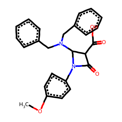 COc1ccc(N2C(=O)C(C(=O)O)C2N(Cc2ccccc2)Cc2ccccc2)cc1